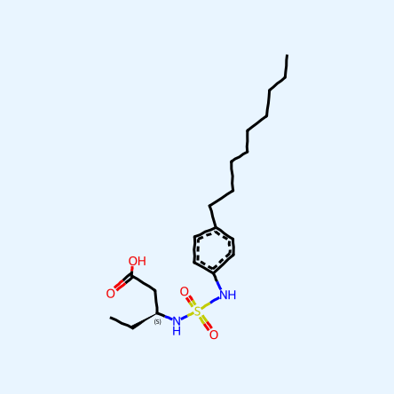 CCCCCCCCCc1ccc(NS(=O)(=O)N[C@@H](CC)CC(=O)O)cc1